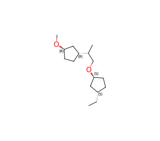 CC[C@H]1CC[C@H](OCC(C)[C@@H]2CC[C@@H](OC)C2)C1